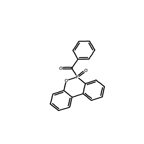 O=C(c1ccccc1)P1(=O)Oc2ccccc2-c2ccccc21